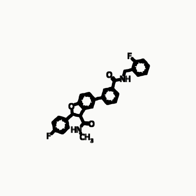 CNC(=O)C1c2cc(-c3cccc(C(=O)NCc4ccccc4F)c3)ccc2OC1c1ccc(F)cc1